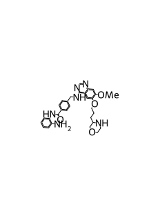 COc1cc2ncnc(NCc3ccc(C(=O)Nc4ccccc4N)cc3)c2cc1OCCCC1COCCN1